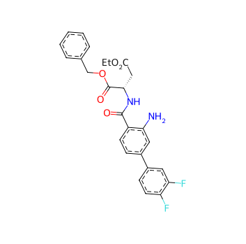 CCOC(=O)C[C@H](NC(=O)c1ccc(-c2ccc(F)c(F)c2)cc1N)C(=O)OCc1ccccc1